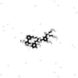 CCCN(CCC)C(=O)c1cc(C)cc(C(=O)O[C@H](CNCc2cccc(-c3c(C)noc3C)c2)[C@@H](N)Cc2cc(F)cc(F)c2)c1